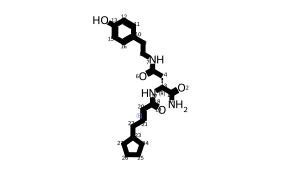 NC(=O)[C@@H](CC(=O)NCCc1ccc(O)cc1)NC(=O)/C=C/CC1CCCC1